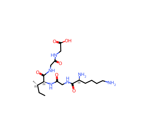 CC[C@H](C)[C@H](NC(=O)CNC(=O)[C@@H](N)CCCCN)C(=O)NCC(=O)NCC(=O)O